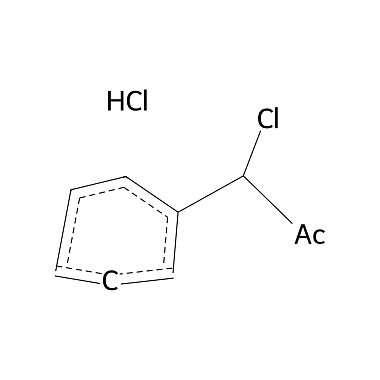 CC(=O)C(Cl)c1ccccc1.Cl